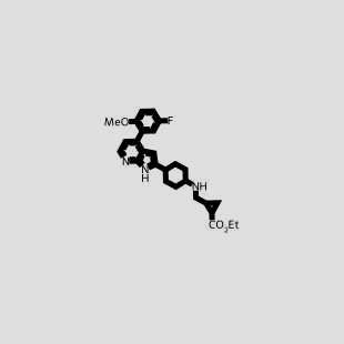 CCOC(=O)C1CC1CNC1CCC(c2cc3c(-c4cc(F)ccc4OC)ccnc3[nH]2)CC1